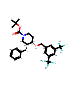 CC(C)(C)OC(=O)N1CC[C@H](OCc2cc(C(F)(F)F)cc(C(F)(F)F)c2)[C@H](Cc2ccccc2)C1